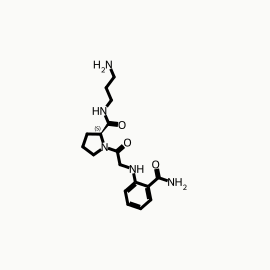 NCCCNC(=O)[C@@H]1CCCN1C(=O)CNc1ccccc1C(N)=O